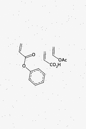 C=CC(=O)O.C=CC(=O)Oc1ccccc1.C=COC(C)=O